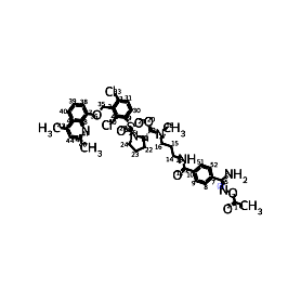 CC(=O)O/N=C(\N)c1ccc(C(=O)NCCCN(C)C(=O)[C@@H]2CCCN2S(=O)(=O)c2ccc(Cl)c(COc3cccc4c(C)cc(C)nc34)c2Cl)cc1